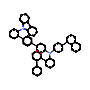 c1ccc(-c2ccccc2-c2ccccc2N(c2ccc(-c3ccc(-c4ccccc4-n4c5ccccc5c5ccccc54)cc3)cc2)c2ccc(-c3cccc4ccccc34)cc2)cc1